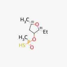 CC[C@H]1O[C@@H](C)CC1OP(C)(=O)S